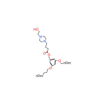 CCCCCCCCCCCCCOc1cc(COC(=O)CCCN2CCN(CCO)CC2)cc(OCCCCCCCCCCC)c1